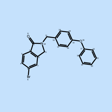 O=C1c2ccc(Br)cc2CN1Cc1ccc(Oc2ccccc2)cc1